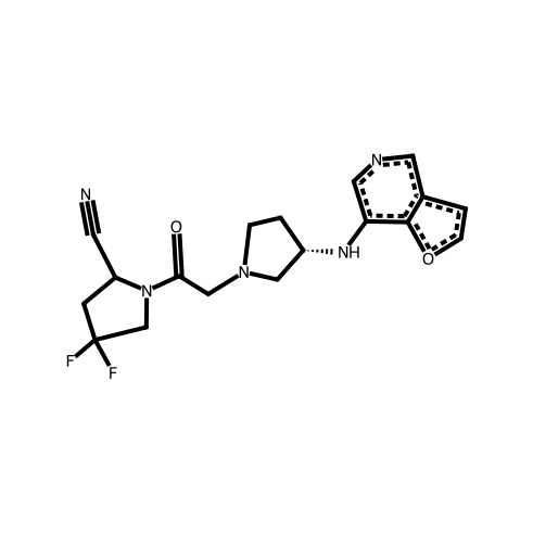 N#CC1CC(F)(F)CN1C(=O)CN1CC[C@H](Nc2cncc3ccoc23)C1